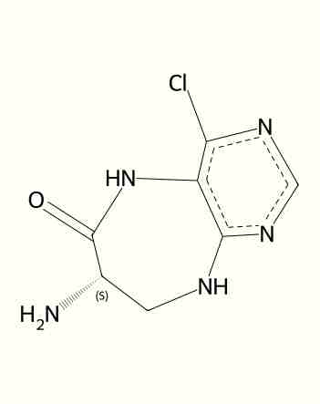 N[C@H]1CNc2ncnc(Cl)c2NC1=O